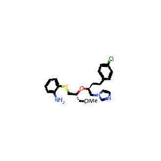 COC[C@H](CSc1ccccc1N)O[C@@H](CCc1ccc(Cl)cc1)Cn1ccnc1